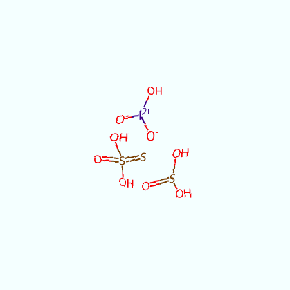 O=S(O)(O)=S.O=S(O)O.[O-][I+2]([O-])O